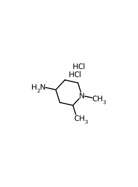 CC1CC(N)CCN1C.Cl.Cl